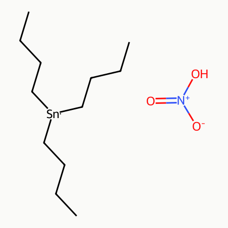 CCC[CH2][Sn]([CH2]CCC)[CH2]CCC.O=[N+]([O-])O